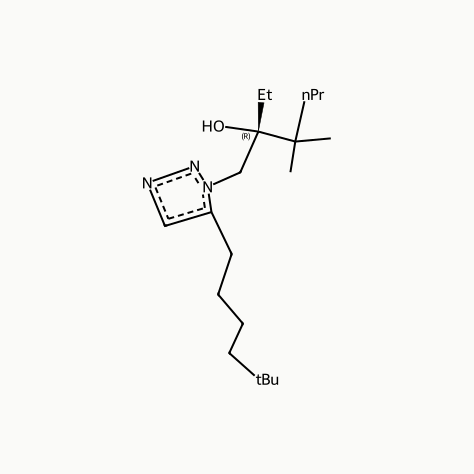 CCCC(C)(C)[C@](O)(CC)Cn1nncc1CCCCC(C)(C)C